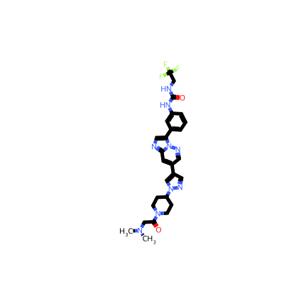 CN(C)CC(=O)N1CCC(n2cc(-c3cnn4c(-c5cccc(NC(=O)NCC(F)(F)F)c5)cnc4c3)cn2)CC1